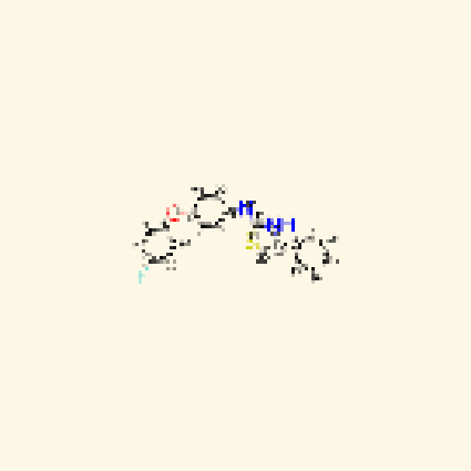 Fc1ccc(Oc2ccc(N=c3[nH]c(-c4ccccc4)cs3)cc2)cc1